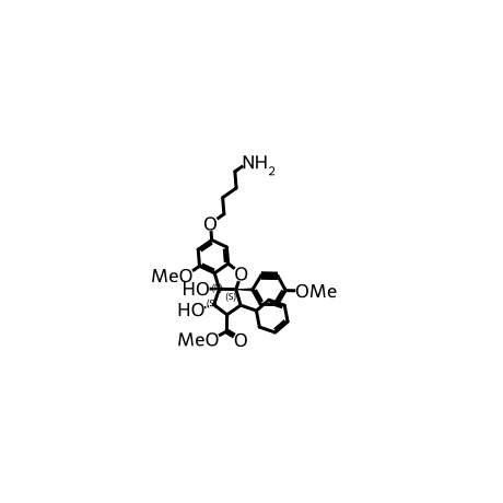 COC(=O)C1C(C2C=CC=CC2)[C@@]2(c3c#cc(OC)cc3)Oc3cc(OCCCCN)cc(OC)c3[C@@]2(O)[C@H]1O